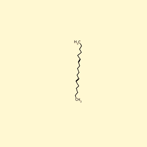 CCCCCC=CCCCCC=CCCCCC